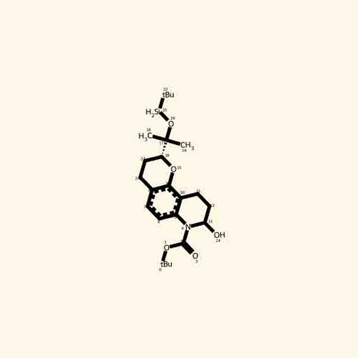 CC(C)(C)OC(=O)N1c2ccc3c(c2CCC1O)O[C@@H](C(C)(C)O[SiH2]C(C)(C)C)CC3